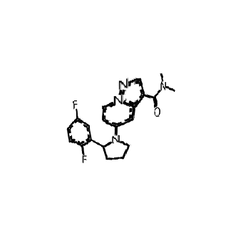 CN(C)C(=O)c1cnn2ccc(N3CCCC3c3cc(F)ccc3F)cc12